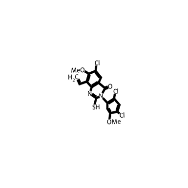 C=Cc1c(OC)c(Cl)cc2c(=O)n(-c3cc(OC)c(Cl)cc3Cl)c(S)nc12